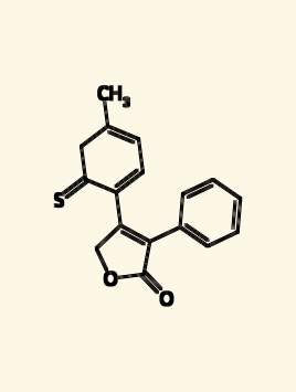 CC1=CC=C(C2=C(c3ccccc3)C(=O)OC2)C(=S)C1